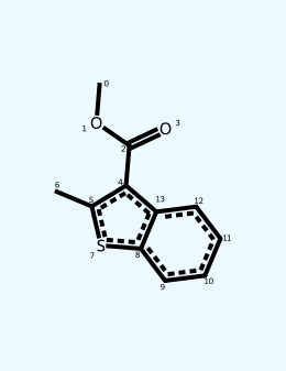 COC(=O)c1c(C)sc2ccccc12